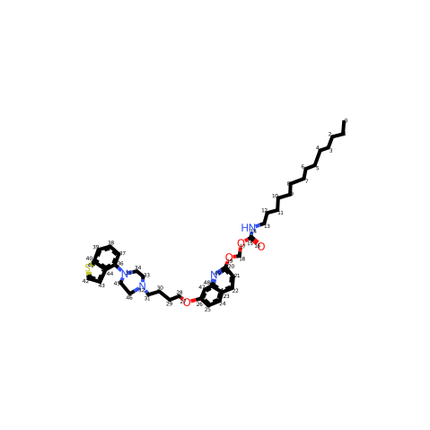 CCCCCCCCCCCCCCNC(=O)OCOc1ccc2ccc(OCCCCN3CCN(c4cccc5sccc45)CC3)cc2n1